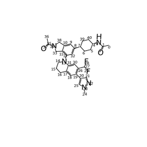 CC(=O)N[C@H]1CC[C@@H](c2cc3c(c(N4CCCc5cc(-c6cnn(C)c6)c(C(F)F)cc54)c2)CN(C(C)=O)C3)CC1